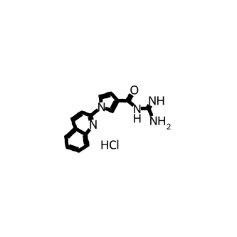 Cl.N=C(N)NC(=O)c1ccn(-c2ccc3ccccc3n2)c1